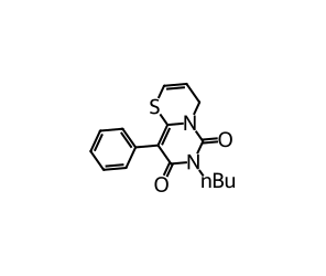 CCCCn1c(=O)c(-c2ccccc2)c2n(c1=O)CC=CS2